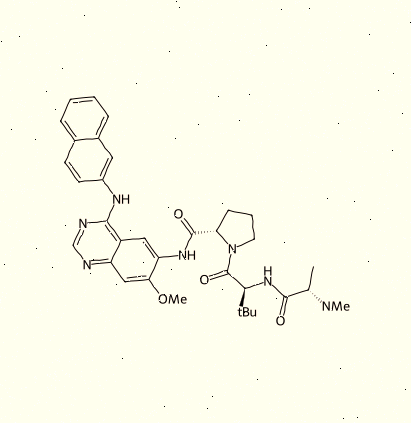 CN[C@@H](C)C(=O)N[C@H](C(=O)N1CCC[C@H]1C(=O)Nc1cc2c(Nc3ccc4ccccc4c3)ncnc2cc1OC)C(C)(C)C